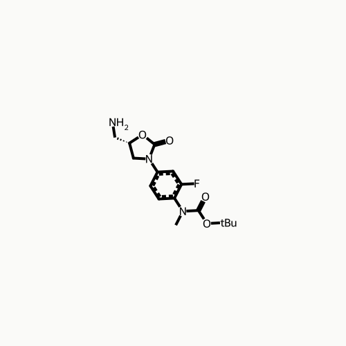 CN(C(=O)OC(C)(C)C)c1ccc(N2C[C@H](CN)OC2=O)cc1F